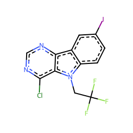 FC(F)(F)Cn1c2ccc(I)cc2c2ncnc(Cl)c21